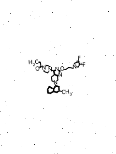 C=CC(=O)N1CCN(c2nc(OCCCN3C[C@@H](F)[C@@H](F)C3)nc3c2CCN(c2cc(C)cc4ccccc24)C3)CC1